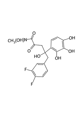 CN(O)C(=O)C(=O)CC(O)(Cc1ccc(F)c(F)c1)c1ccc(O)c(O)c1O